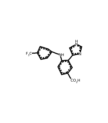 O=C(O)c1ccc(Nc2ccc(C(F)(F)F)cc2)c(-c2c[nH]cn2)c1